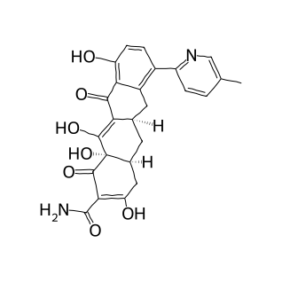 Cc1ccc(-c2ccc(O)c3c2C[C@H]2C[C@H]4CC(O)=C(C(N)=O)C(=O)[C@@]4(O)C(O)=C2C3=O)nc1